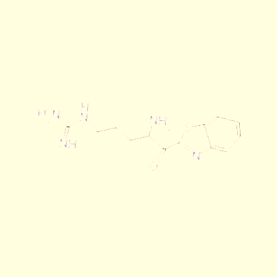 N=C(N)NCCCC(N)C(=O)c1nc2ccccc2s1